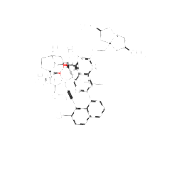 C=C1CN2CC(=C)CC2(COc2nc(N3C[C@H]4CC[C@@H](C3)N4C(=O)O)c3cnc(-c4cccc5ccc(Cl)c(C#C[Si](C(C)C)(C(C)C)C(C)C)c45)c(F)c3n2)C1